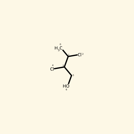 CC(Cl)C(Cl)CO